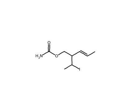 CC=CC(COC(N)=O)C(C)I